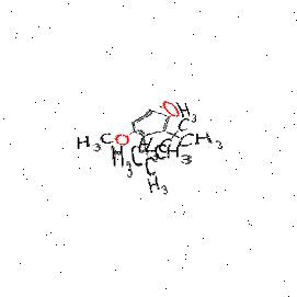 COc1ccc([O])c(C(C)(C)C)c1C(C)(C)C